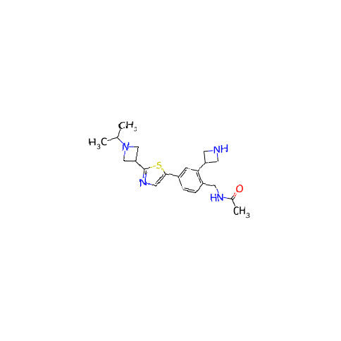 CC(=O)NCc1ccc(-c2cnc(C3CN(C(C)C)C3)s2)cc1C1CNC1